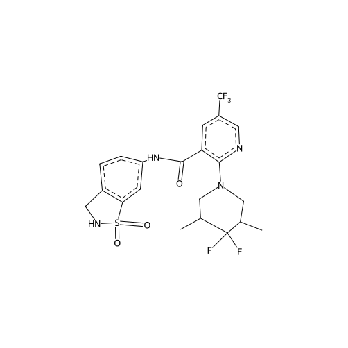 CC1CN(c2ncc(C(F)(F)F)cc2C(=O)Nc2ccc3c(c2)S(=O)(=O)NC3)CC(C)C1(F)F